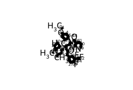 CCOc1ccc(-n2c([C@@H](C)N(CCC(C)N(C)C3CCC3)C(=O)Cc3ccc(F)c(C(F)(F)F)c3)nc3ncccc3c2=O)cc1